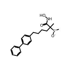 C[S+]([O-])C(C)(CCCCc1ccc(-c2ccccc2)cc1)C(=O)NO